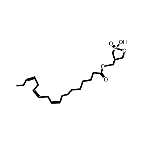 CC/C=C\C/C=C\C/C=C\CCCCCCCC(=O)OCC1COP(=O)(O)C1